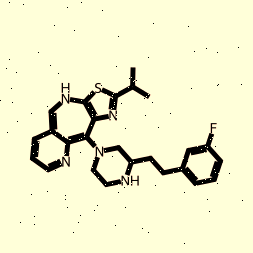 CC(C)c1nc2c(s1)NC=c1cccnc1=C2N1CCNC(CCc2cccc(F)c2)C1